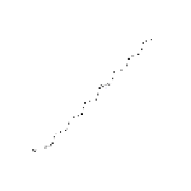 CCCCCC/C=C/CCCCCCC=C=O